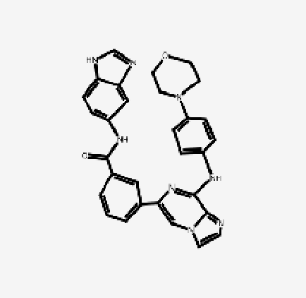 O=C(Nc1ccc2[nH]cnc2c1)c1cccc(-c2cn3ccnc3c(Nc3ccc(N4CCOCC4)cc3)n2)c1